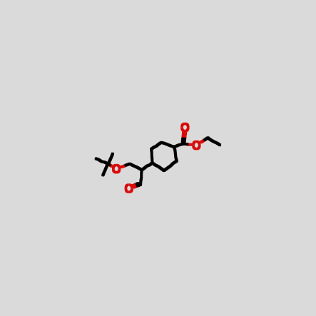 CCOC(=O)C1CCC(C(C=O)COC(C)(C)C)CC1